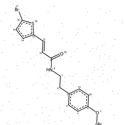 CCCOc1ccc(CCNC(=O)/C=C/c2ccc(Br)s2)cc1